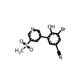 CS(=O)(=O)c1cncc(-c2cc(C#N)cc(Br)c2O)c1